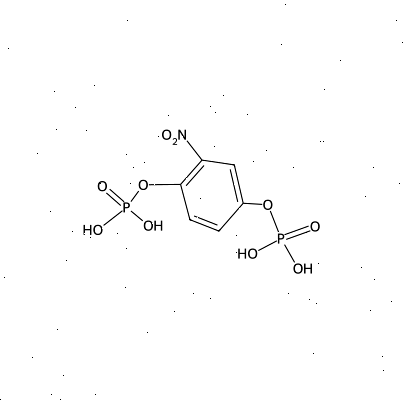 O=[N+]([O-])c1cc(OP(=O)(O)O)ccc1OP(=O)(O)O